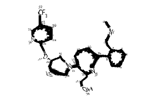 C/N=C/c1ccccc1-c1ccc(N2CC[C@H](Oc3ccc(C(F)(F)F)cn3)C2)c(CO)n1